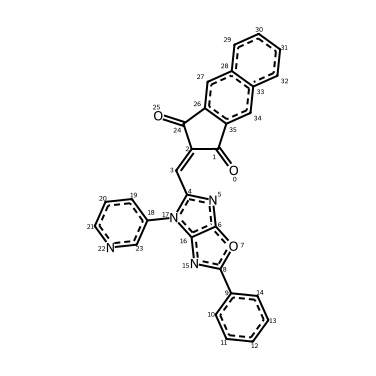 O=C1C(=Cc2nc3oc(-c4ccccc4)nc3n2-c2cccnc2)C(=O)c2cc3ccccc3cc21